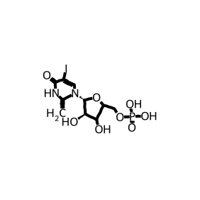 C=C1NC(=O)C(I)=CN1[C@@H]1OC(COP(=O)(O)O)C(O)[C@H]1O